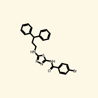 O=C(Nc1nnc(NCCC(c2ccccc2)c2ccccc2)s1)c1ccc(Br)cc1